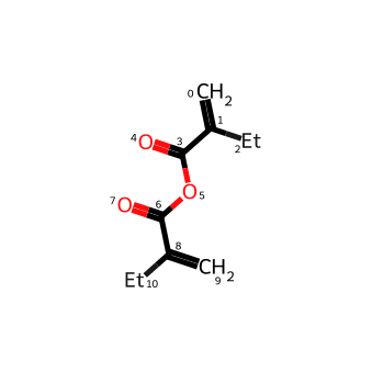 C=C(CC)C(=O)OC(=O)C(=C)CC